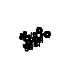 CS(=O)(=O)c1cnc(C(=N)OC(=N)N[C@H]2N=C(c3ccccc3)c3ccccc3NC2=O)c(N2CCOCC2)c1